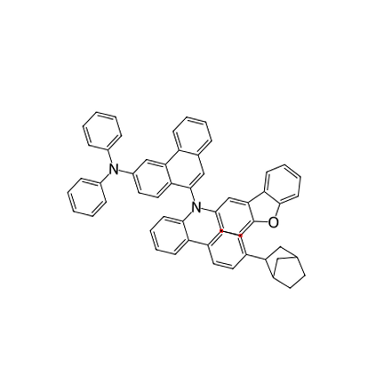 c1ccc(N(c2ccccc2)c2ccc3c(N(c4ccc5oc6ccccc6c5c4)c4ccccc4-c4ccc(C5CC6CCC5C6)cc4)cc4ccccc4c3c2)cc1